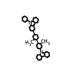 Cc1cc(-c2ccc3c(c2)c2ccccc2n3-c2ccccc2)ccc1-c1ccc(-n2c3ccccc3c3ccccc32)cc1C